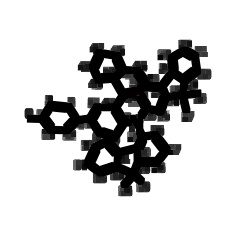 Cc1ccc(-c2ccc(N(c3ccc4c(c3)C(C)(C)c3ccccc3-4)c3cccc4c3-c3ccccc3C4(C)C)c(-c3cccc4ccccc34)c2)cc1